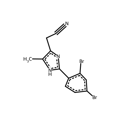 Cc1[nH]c(-c2ccc(Br)cc2Br)nc1CC#N